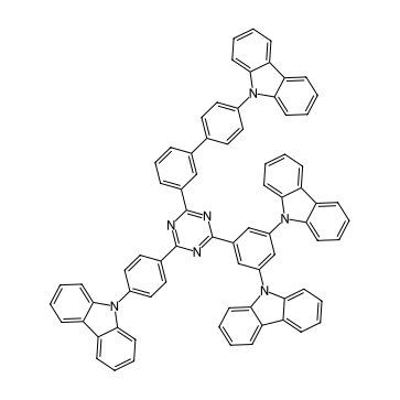 c1cc(-c2ccc(-n3c4ccccc4c4ccccc43)cc2)cc(-c2nc(-c3ccc(-n4c5ccccc5c5ccccc54)cc3)nc(-c3cc(-n4c5ccccc5c5ccccc54)cc(-n4c5ccccc5c5ccccc54)c3)n2)c1